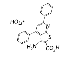 Nc1c(C(=O)O)sc2nc(-c3ccccc3)cc(-c3ccccc3)c12.[Li+].[OH-]